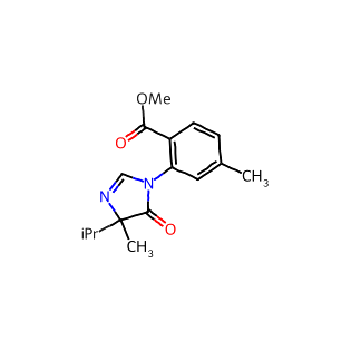 COC(=O)c1ccc(C)cc1N1C=NC(C)(C(C)C)C1=O